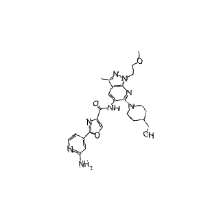 COCCn1nc(C)c2cc(NC(=O)c3coc(-c4ccnc(N)c4)n3)c(N3CCC(CO)CC3)nc21